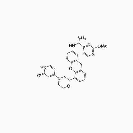 COc1nccc(C(C)Nc2ccc3c(c2)Cc2cccc(C4CN(c5cc[nH]c(=O)c5)CCO4)c2O3)n1